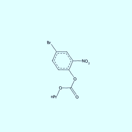 CCCOC(=O)Oc1ccc(Br)cc1[N+](=O)[O-]